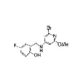 COc1cc(NCc2cc(F)ccc2O)cc(Br)n1